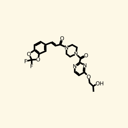 CC(O)COc1ccnc(C(=O)N2CCN(C(=O)C=Cc3ccc4c(c3)OC(F)(F)O4)CC2)n1